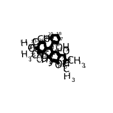 CCC(C)C(=O)c1c(O)cc2c(c1O)C(c1ccccc1)C1=C(O2)C(C)(C)C(=O)C(C)(C)C1=O